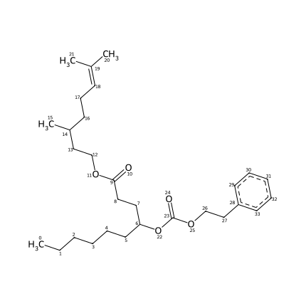 CCCCCCC(CCC(=O)OCCC(C)CCC=C(C)C)OC(=O)OCCc1ccccc1